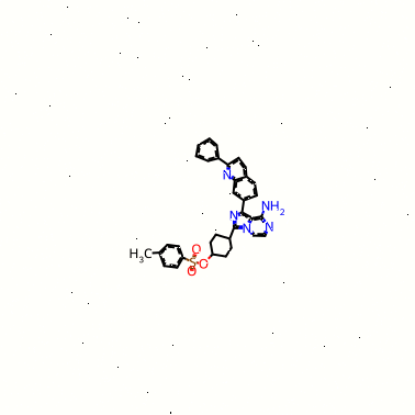 Cc1ccc(S(=O)(=O)OC2CCC(c3nc(-c4ccc5ccc(-c6ccccc6)nc5c4)c4c(N)nccn34)CC2)cc1